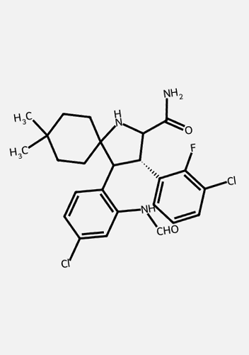 CC1(C)CCC2(CC1)NC(C(N)=O)[C@H](c1cccc(Cl)c1F)C2c1ccc(Cl)cc1NC=O